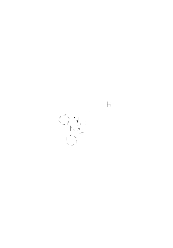 O=S1(=O)N(CCCCCCBr)c2ccccc2N1c1ccccc1F